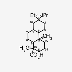 CCC1(C(C)C)CCC2C(CCC3C(C)(C(=O)O)CCCC23C)C1